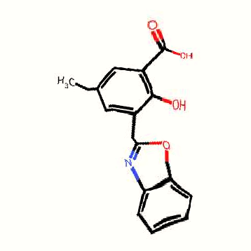 Cc1cc(C(=O)O)c(O)c(-c2nc3ccccc3o2)c1